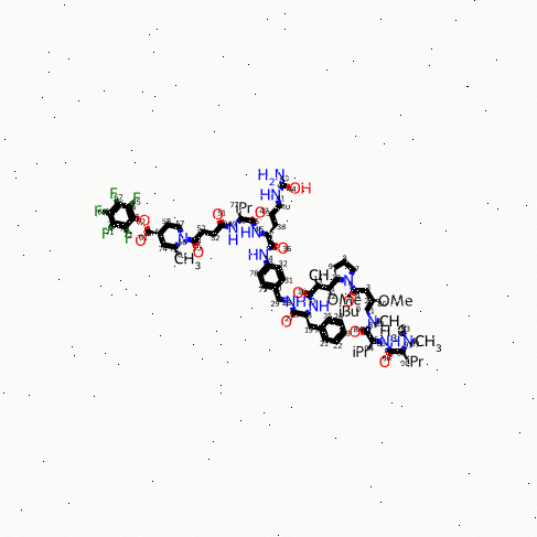 CC[C@H](C)[C@@H]([C@@H](CC(=O)N1CCC[C@H]1[C@H](OC)[C@@H](C)C(=O)N[C@@H](Cc1ccccc1)C(=O)NCc1ccc(NC(=O)[C@H](CCCNC(N)O)NC(=O)[C@@H](NC(=O)CCC(=O)N2CC[C@H](C(=O)Oc3c(F)c(F)c(F)c(F)c3F)C[C@@H]2C)C(C)C)cc1)OC)N(C)C(=O)[C@@H](NC(=O)[C@H](C(C)C)N(C)C)C(C)C